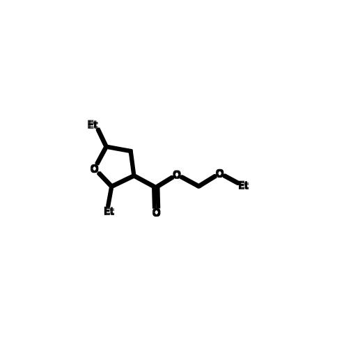 CCOCOC(=O)C1CC(CC)OC1CC